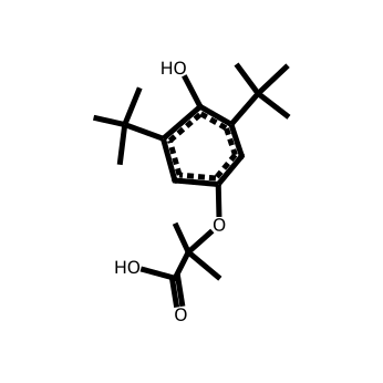 CC(C)(Oc1cc(C(C)(C)C)c(O)c(C(C)(C)C)c1)C(=O)O